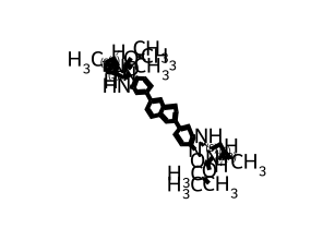 C[C@@H]1[C@@H]2C[C@@H](c3nc4ccc(-c5ccc6cc(-c7ccc8nc([C@@H]9C%10[C@@H]%11[C@H](N9C(=O)OC(C)(C)C)[C@]%10%11C)[nH]c8c7)ccc6c5)cc4[nH]3)N(C(=O)OC(C)(C)C)[C@H]12